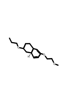 CCCOC1CCC2C=C(OCCOC)C=C[C@H]2C1